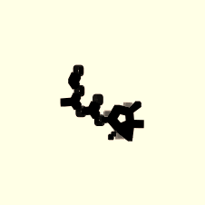 CC(OC=O)OC(=O)O[C@H]1C[C@@H](C)C2(C)C[C@@]12C